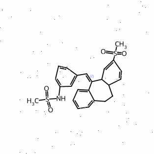 CS(=O)(=O)Nc1cccc(/C=C2\c3ccccc3CCC3C=CC(S(C)(=O)=O)=CC23)c1